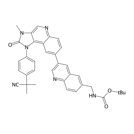 Cn1c(=O)n(-c2ccc(C(C)(C)C#N)cc2)c2c3cc(-c4cnc5ccc(CNC(=O)OC(C)(C)C)cc5c4)ccc3ncc21